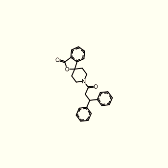 O=C1OC2(CCN(C(=O)CC(c3ccccc3)c3ccccc3)CC2)c2ccccc21